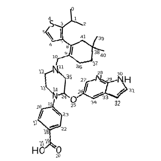 CC(C)c1sccc1C1=C(CN2CCN(c3ccc(C(=O)O)cc3)C(Oc3cnc4[nH]ccc4c3)C2)CCC(C)(C)C1